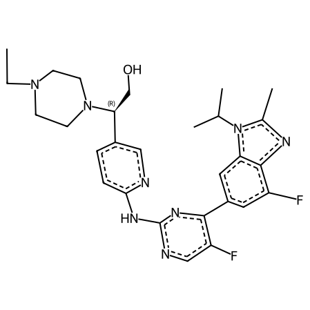 CCN1CCN([C@@H](CO)c2ccc(Nc3ncc(F)c(-c4cc(F)c5nc(C)n(C(C)C)c5c4)n3)nc2)CC1